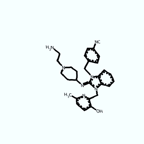 [C-]#[N+]c1ccc(Cn2/c(=N\C3CCN(CCN)CC3)n(Cc3nc(C)ccc3O)c3ccccc32)cc1